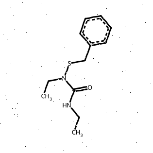 CCNC(=O)N(CC)SCc1ccccc1